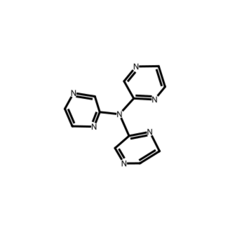 c1cnc(N(c2cnccn2)c2cnccn2)cn1